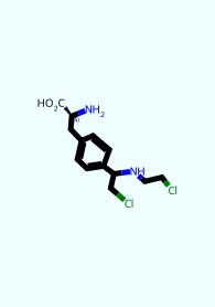 N[C@@H](Cc1ccc(C(CCl)NCCCl)cc1)C(=O)O